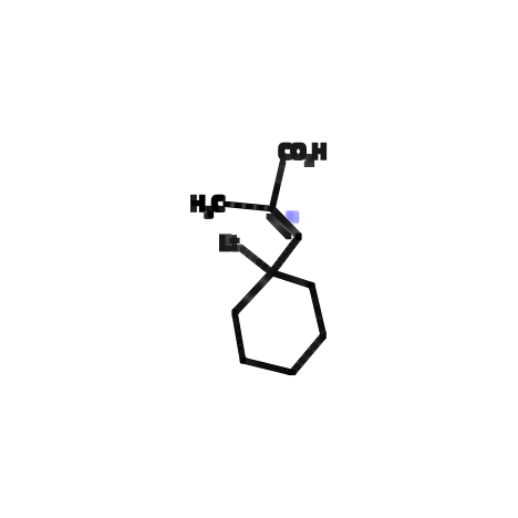 CCC1(/C=C(\C)C(=O)O)CCCCC1